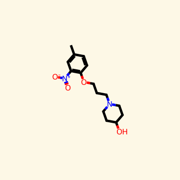 Cc1ccc(OCCCN2CCC(O)CC2)c([N+](=O)[O-])c1